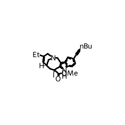 CCCCC#Cc1ccc2[nH]c3c(c2c1)CN1CC(CC)=C[C@@H](C1)C[C@@]3(I)C(=O)OC